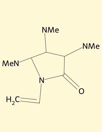 C=CN1C(=O)C(NC)C(NC)C1NC